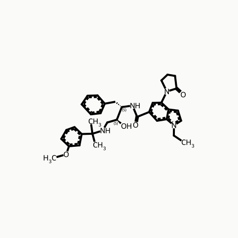 CCn1ccc2c(N3CCCC3=O)cc(C(=O)N[C@@H](Cc3ccccc3)[C@@H](O)CNC(C)(C)c3cccc(OC)c3)cc21